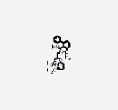 C/C=C(CNC(=N)c1c(C)cccc1-c1ccccc1)\N=c1\cccc(C)[nH]1